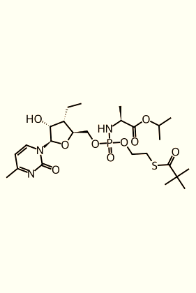 CC[C@H]1[C@@H](O)[C@H](n2ccc(C)nc2=O)O[C@@H]1COP(=O)(N[C@@H](C)C(=O)OC(C)C)OCCSC(=O)C(C)(C)C